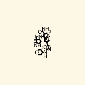 CC1(C)[C@H](Nc2c(C(N)=O)cnn3cc(-c4nnc(NC5CCOCC5)o4)cc23)CC[C@]1(C)N